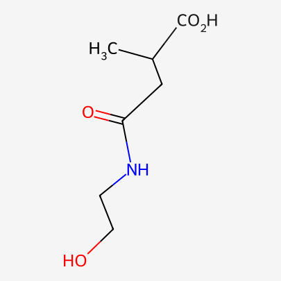 CC(CC(=O)NCCO)C(=O)O